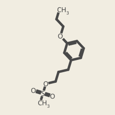 CCCOc1cccc(CCCOS(C)(=O)=O)c1